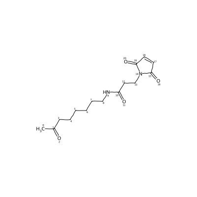 CC(=O)CCCCCCNC(=O)CCN1C(=O)C=CC1=O